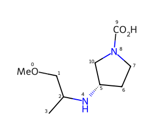 COCC(C)N[C@H]1CCN(C(=O)O)C1